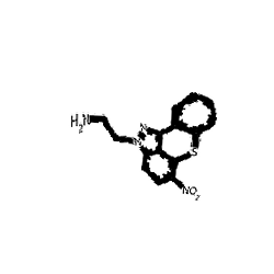 NCCn1nc2c3c(c([N+](=O)[O-])ccc31)Sc1ccccc1-2